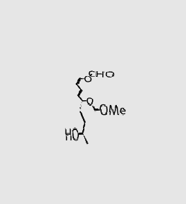 COCO[C@@H](/C=C/C=C\OC=O)CC[C@@H](C)O